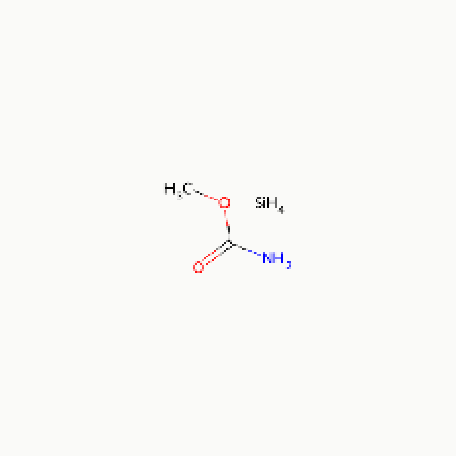 COC(N)=O.[SiH4]